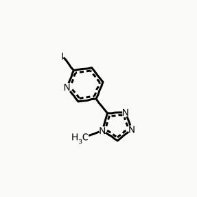 Cn1cnnc1-c1ccc(I)nc1